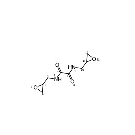 O=C(NCC1CO1)C(=O)NCC1CO1